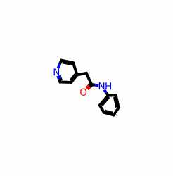 O=C(Cc1ccncc1)Nc1cc[c]cc1